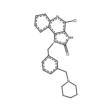 O=c1[nH]c2c(Cl)nc3ccccc3c2n1Cc1cccc(CN2CCCCC2)c1